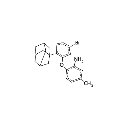 Cc1ccc(Oc2cc(Br)ccc2C23CC4CC(CC(C4)C2)C3)c(N)c1